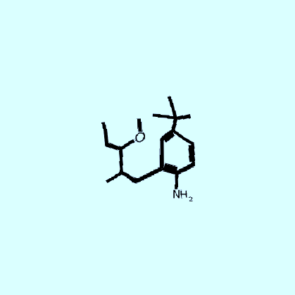 CCC(OC)C(C)Cc1cc(C(C)(C)C)ccc1N